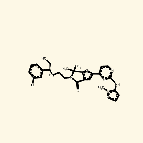 Cn1nccc1Nc1nccc(-c2cc3c(s2)C(C)(C)N(CCN[C@H](CO)c2cccc(Cl)c2)C3=O)n1